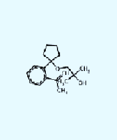 C=C(C)c1ccccc1C1(OCC(C)(C)O)CCCC1